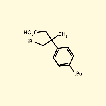 CCC(C)CC(C)(CC(=O)O)c1ccc(C(C)(C)C)cc1